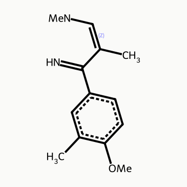 CN/C=C(/C)C(=N)c1ccc(OC)c(C)c1